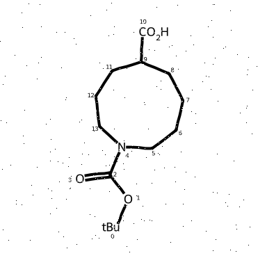 CC(C)(C)OC(=O)N1CCCCC(C(=O)O)CCC1